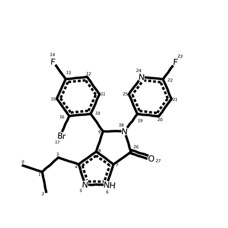 CC(C)Cc1n[nH]c2c1C(c1ccc(F)cc1Br)N(c1ccc(F)nc1)C2=O